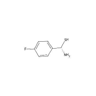 N[C@@H](S)c1ccc(F)cc1